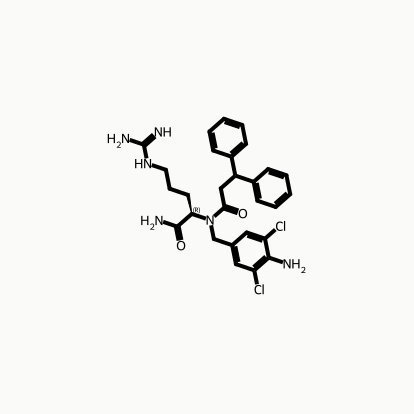 N=C(N)NCCC[C@H](C(N)=O)N(Cc1cc(Cl)c(N)c(Cl)c1)C(=O)CC(c1ccccc1)c1ccccc1